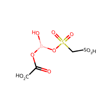 O=C(O)C(=O)OB(O)OS(=O)(=O)CS(=O)(=O)O